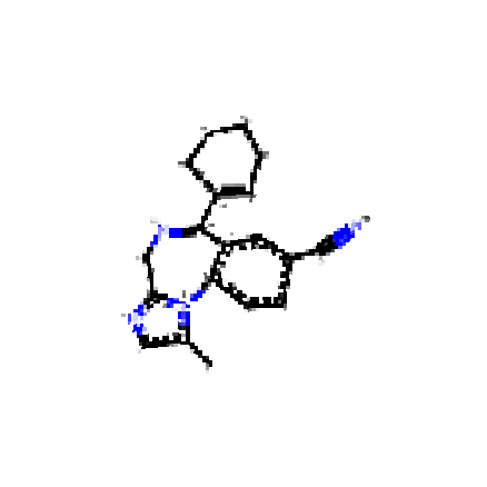 Cc1cnc2n1-c1ccc(C#N)cc1C(C1=CCCCC1)=NC2